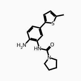 Cc1ccc(-c2ccc(N)c(NC(=O)N3CCCC3)c2)s1